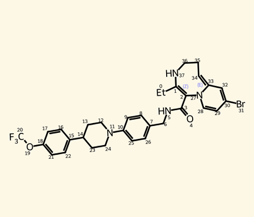 CC/C1=C(\C(=O)NCc2ccc(N3CCC(c4ccc(OC(F)(F)F)cc4)CC3)cc2)N2C=CC(Br)=C/C2=C\CCN1